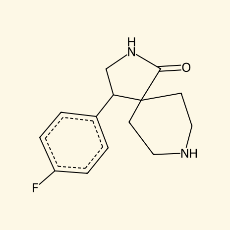 O=C1NCC(c2ccc(F)cc2)C12CCNCC2